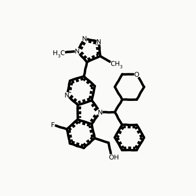 Cc1nnn(C)c1-c1cnc2c3c(F)ccc(CO)c3n(C(c3ccccc3)C3CCOCC3)c2c1